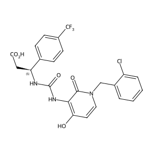 O=C(O)C[C@H](NC(=O)Nc1c(O)ccn(Cc2ccccc2Cl)c1=O)c1ccc(C(F)(F)F)cc1